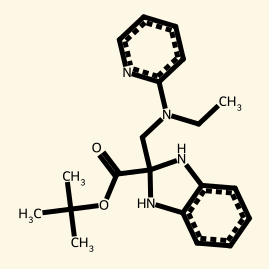 CCN(CC1(C(=O)OC(C)(C)C)Nc2ccccc2N1)c1ccccn1